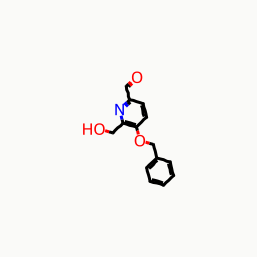 O=Cc1ccc(OCc2ccccc2)c(CO)n1